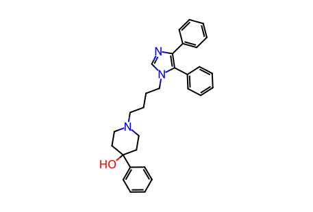 OC1(c2ccccc2)CCN(CCCCn2cnc(-c3ccccc3)c2-c2ccccc2)CC1